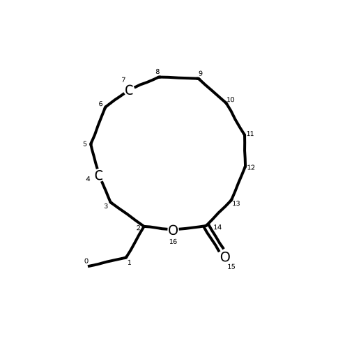 CCC1CCCCCCCCCCCC(=O)O1